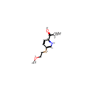 CCOCCSc1ccc(C(=O)OC)nc1